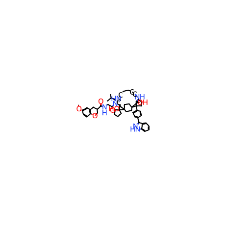 COc1ccc2c(c1)CC(C(=O)NCC(=O)N(CC(C)C)CC1(C34CCC(C5(c6ccc(-c7n[nH]c8ccccc78)cc6)CCCC5)(CC3)C(O)NCCCCCNCC4O)CCCC1)CO2